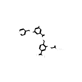 CNC(=O)COc1cc(C(=N)N)ccc1CNC(=O)c1cc(Cl)cc(OCc2ccncc2)c1